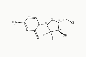 Nc1ccn([C@@H]2O[C@H](CCl)[C@@H](O)C2(F)F)c(=O)n1